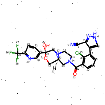 N#Cc1n[nH]cc1-c1cccc(C(=O)N2CCN3C[C@@](O)(c4ccc(C(F)(F)F)nc4)OC[C@@H]3C2)c1Cl